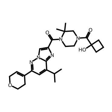 CC(C)c1cc(C2=CCOCC2)nn2cc(C(=O)N3CCN(C(=O)C4(O)CCC4)CC3(C)C)nc12